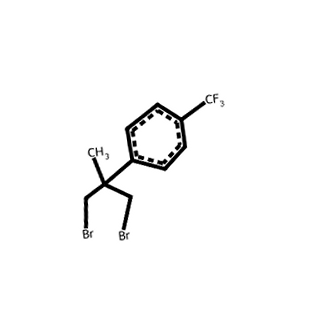 CC(CBr)(CBr)c1ccc(C(F)(F)F)cc1